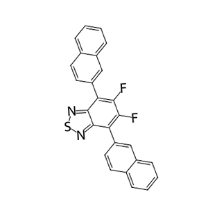 Fc1c(F)c(-c2ccc3ccccc3c2)c2nsnc2c1-c1ccc2ccccc2c1